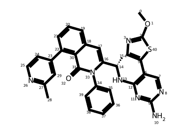 COc1ncc(-c2cnc(N)nc2N[C@@H](C)c2cc3cccc(-c4ccnc(C)c4)c3c(=O)n2-c2ccccc2)s1